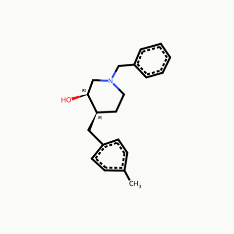 Cc1ccc(C[C@@H]2CCN(Cc3ccccc3)C[C@@H]2O)cc1